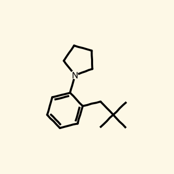 CC(C)(C)Cc1ccccc1N1CCCC1